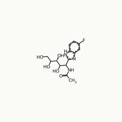 CC(=O)NC(c1nc2cc(F)ccc2[nH]1)C(O)[C@H](O)C(O)CO